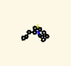 C1=CCC(C2(c3ccccc3)c3cc(N(c4ccc(-c5cccc(-c6ccc7ccccc7c6)c5)cc4)c4cccc5sc6ccccc6c45)ccc3C3C=CC=CC32)C=C1